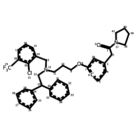 O=C(Cc1cccc(OCCCN(Cc2cccc(C(F)(F)F)c2Cl)CC(c2ccccc2)c2ccccc2)c1)N1CCCC1